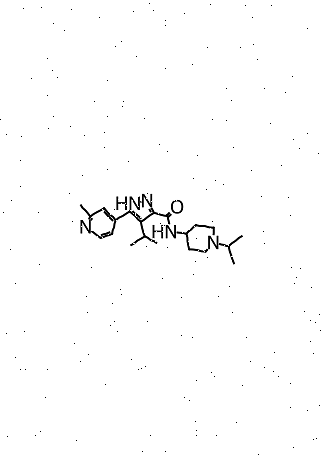 Cc1cc(-c2[nH]nc(C(=O)NC3CCN(C(C)C)CC3)c2C(C)C)ccn1